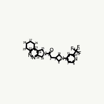 O=C(CC1CN(c2ccnc(C(F)(F)F)c2)C1)N1Cc2nnc3c(c2C1)CCCC3